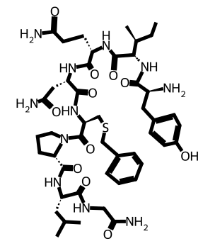 CC[C@H](C)[C@H](NC(=O)[C@@H](N)Cc1ccc(O)cc1)C(=O)N[C@@H](CCC(N)=O)C(=O)N[C@@H](CC(N)=O)C(=O)N[C@@H](CSCc1ccccc1)C(=O)N1CCC[C@H]1C(=O)N[C@@H](CC(C)C)C(=O)NCC(N)=O